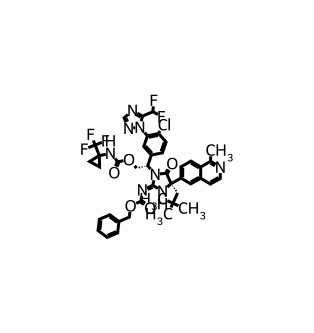 Cc1nccc2cc([C@@]3(CC(C)(C)C)N/C(=N\C(=O)OCc4ccccc4)N([C@H](COC(=O)NC4(C(F)(F)F)CC4)c4ccc(Cl)c(-n5ncnc5C(F)F)c4)C3=O)ccc12